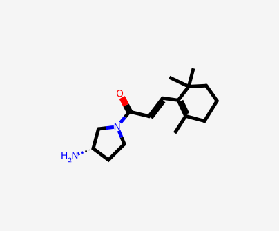 CC1=C(/C=C/C(=O)N2CC[C@H](N)C2)C(C)(C)CCC1